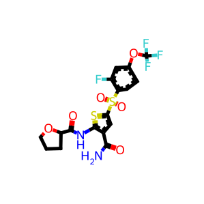 NC(=O)c1cc(S(=O)(=O)c2ccc(OC(F)(F)F)cc2F)sc1NC(=O)C1CCCO1